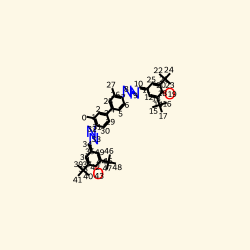 Cc1cc(-c2ccc(/N=N/C=C3C=C(C(C)(C)C)C(=O)C(C(C)(C)C)=C3)c(C)c2)ccc1/N=N/C=C1C=C(C(C)(C)C)C(=O)C(C(C)(C)C)=C1